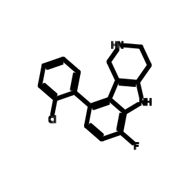 Fc1ccc(-c2ccccc2Cl)c2c3c([nH]c12)CCNC3